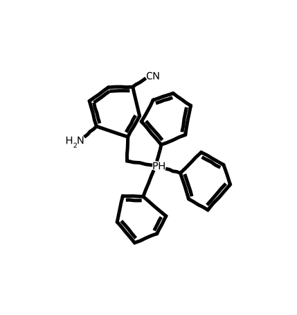 N#CC1=C=C=C(N)C(C[PH](c2ccccc2)(c2ccccc2)c2ccccc2)=C1